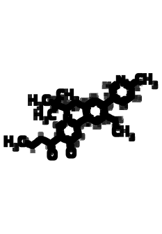 CCCC(=O)c1cn2c(cc1=O)-c1cc(CC)c(-c3ccc(C)nc3)cc1CC2C(C)(C)C